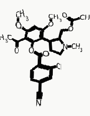 COc1cc(OC)c(C2CCN(C)C2COC(C)=O)c(OC(=O)c2ccc(C#N)cc2Cl)c1C(C)=O